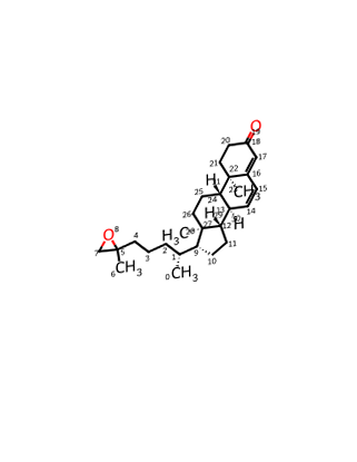 C[C@H](CCCC1(C)CO1)[C@H]1CC[C@H]2[C@@H]3C=CC4=CC(=O)CC[C@]4(C)[C@H]3CC[C@]12C